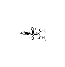 C#CS(=O)(=O)N(C)C